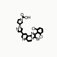 O=C(O)N1CCC(n2cc(-c3cnc4ccn5c(Br)c(-c6c(Cl)cccc6Cl)nc5c4c3)cn2)C1